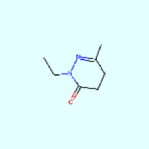 CCN1N=C(C)CCC1=O